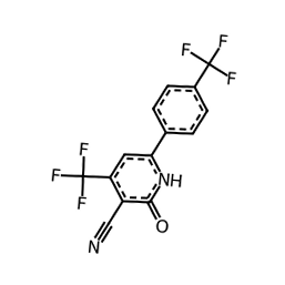 N#Cc1c(C(F)(F)F)cc(-c2ccc(C(F)(F)F)cc2)[nH]c1=O